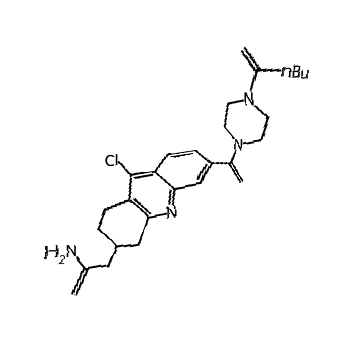 C=C(N)CC1CCc2c(nc3cc(C(=C)N4CCN(C(=C)CCCC)CC4)ccc3c2Cl)C1